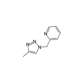 Cc1cn(Cc2ccccn2)nn1